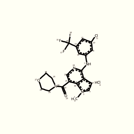 Cl.Cn1ccc2c(Nc3cc(Cl)cc(C(F)(F)F)c3)ncc(C(=O)N3CCOCC3)c21